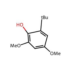 COc1cc(OC)c(O)c(C(C)(C)C)c1